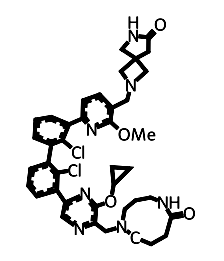 COc1nc(-c2cccc(-c3cccc(-c4cnc(CN5CCCNC(=O)CCC5)c(OC5CC5)n4)c3Cl)c2Cl)ccc1CN1CC2(CNC(=O)C2)C1